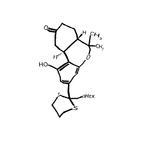 CCCCCCC1(c2cc(O)c3c(c2)OC(C)(C)[C@H]2CCC(=O)C[C@H]32)SCCS1